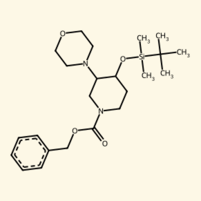 CC(C)(C)[Si](C)(C)OC1CCN(C(=O)OCc2ccccc2)CC1N1CCOCC1